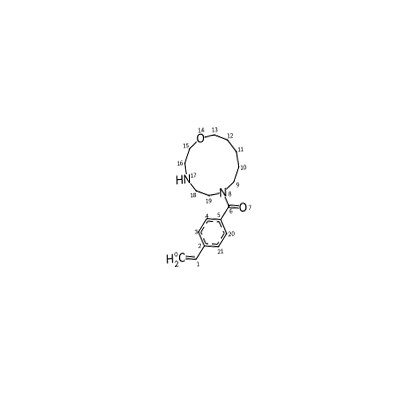 C=Cc1ccc(C(=O)N2CCCCCOCCNCC2)cc1